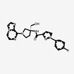 O=C(N[C@@]1(CO)CCN(c2nccn3ccnc23)C1)c1ccn(-c2ccc(F)cc2)n1